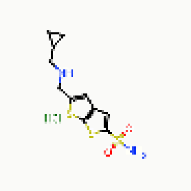 Cl.NS(=O)(=O)c1cc2cc(CNCC3CC3)sc2s1